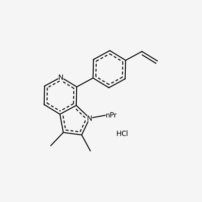 C=Cc1ccc(-c2nccc3c(C)c(C)n(CCC)c23)cc1.Cl